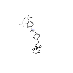 C/C(=C\c1ccc(COP2(=O)OCCO2)cc1)c1ccc2c(c1)C(C)(C)CCC2(C)C